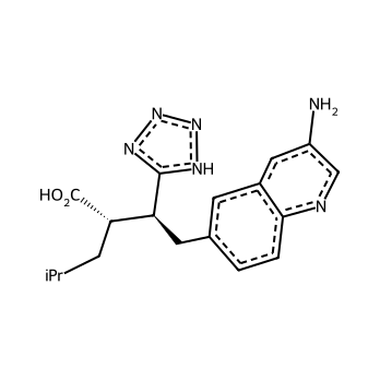 CC(C)C[C@H](C(=O)O)[C@H](Cc1ccc2ncc(N)cc2c1)c1nnn[nH]1